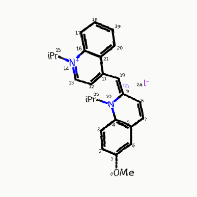 COc1ccc2c(c1)C=C/C(=C/c1cc[n+](C(C)C)c3ccccc13)N2C(C)C.[I-]